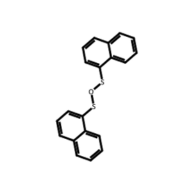 c1ccc2c(SOSc3cccc4ccccc34)cccc2c1